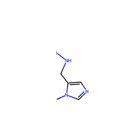 Cn1cncc1CNI